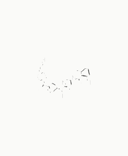 O=C(Nc1cnc(Nc2ccc(C(=O)N3CCN(CCO)CC3)nc2)nc1)c1c(Cl)cccc1Cl